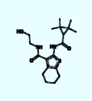 CC1(C)C(C(=O)Nc2sc3c(c2C(=O)NCCO)CCCC3)C1(C)C